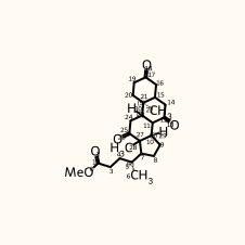 COC(=O)CC[C@@H](C)C1CC[C@H]2C3C(=O)CC4CC(=O)CC[C@]4(C)[C@H]3CC(=O)C12C